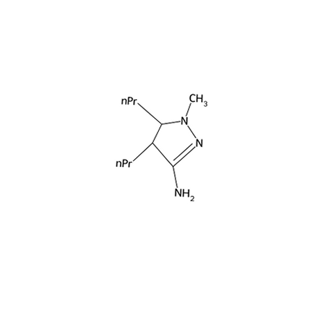 CCCC1C(N)=NN(C)C1CCC